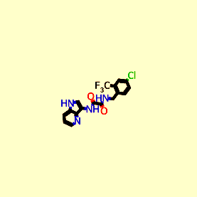 O=C(NCc1ccc(Cl)cc1C(F)(F)F)C(=O)Nc1c[nH]c2cccnc12